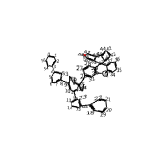 c1ccc(-c2cccc(-c3cc(-c4cccc(-c5ccccc5)c4)nc(-c4ccc5c(c4)Oc4ccccc4C54c5ccccc5-c5ccccc54)n3)c2)cc1